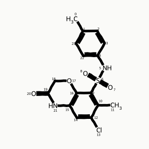 Cc1ccc(NS(=O)(=O)c2c(C)c(Cl)cc3c2OCC(=O)N3)cc1